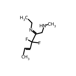 C/C=C/C(F)(F)/C(CNC)=N/CC